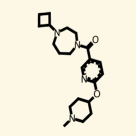 CN1CCC(Oc2ccc(C(=O)N3CCCN(C4CCC4)CC3)cn2)CC1